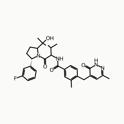 Cc1cc(Cc2ccc(C(=O)NC(C(=O)N3C(C(C)(C)O)CC[C@H]3c3cccc(F)c3)C(C)C)cc2C)c(=O)[nH]n1